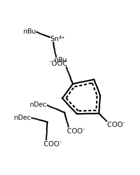 CCCCCCCCCCCC(=O)[O-].CCCCCCCCCCCC(=O)[O-].CCC[CH2][Sn+4][CH2]CCC.O=C([O-])c1ccc(C(=O)[O-])cc1